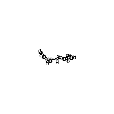 Cc1ccc(Oc2ccc(Nc3ncnc4ccc(/C=C/CNC(=O)COc5ccc6c(c5)C(=O)N(C5CCC(=O)NC5=O)C6=O)cc34)cc2C)cn1